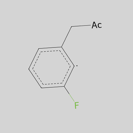 CC(=O)Cc1[c]c(F)ccc1